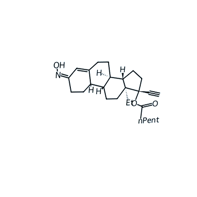 C#C[C@]1(OC(=O)CCCCC)CC[C@H]2[C@@H]3CCC4=C/C(=N\O)CC[C@@H]4[C@H]3CC[C@@]21CC